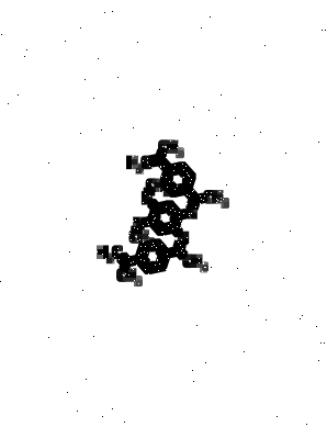 C=Nc1cc(/N=C(/C)c2ccc(C(=C)C)cc2)c(/N=C(/C)c2ccc(C(=C)C)cc2)cc1N=C